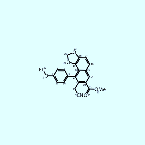 CCOc1ccc(-c2c(CC#N)c(C(=O)OC)cc3ccc4c(c23)OCO4)cc1